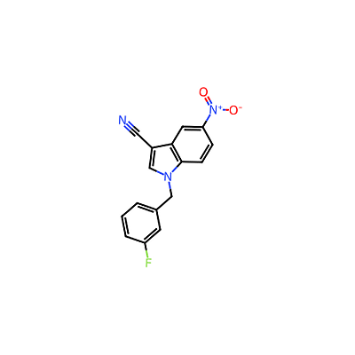 N#Cc1cn(Cc2cccc(F)c2)c2ccc([N+](=O)[O-])cc12